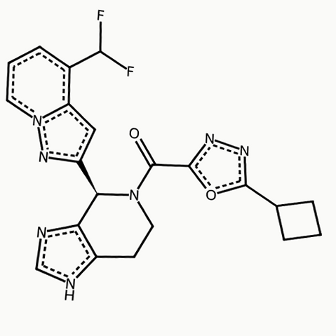 O=C(c1nnc(C2CCC2)o1)N1CCc2[nH]cnc2[C@H]1c1cc2c(C(F)F)cccn2n1